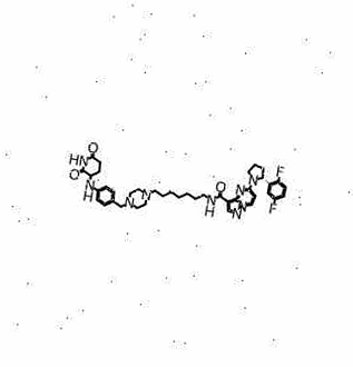 O=C1CCC(Nc2ccc(CN3CCN(CCCCCCCNC(=O)c4cnn5ccc(N6CCC[C@@H]6c6cc(F)ccc6F)nc45)CC3)cc2)C(=O)N1